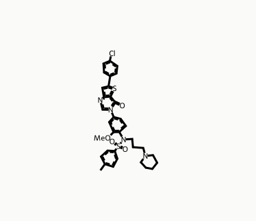 COc1cc(-n2cnc3cc(-c4ccc(Cl)cc4)sc3c2=O)ccc1N(CCCN1CCCCC1)S(=O)(=O)c1ccc(C)cc1